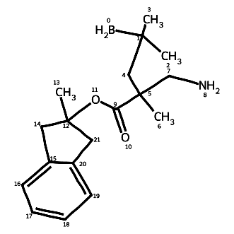 BC(C)(C)CC(C)(CN)C(=O)OC1(C)Cc2ccccc2C1